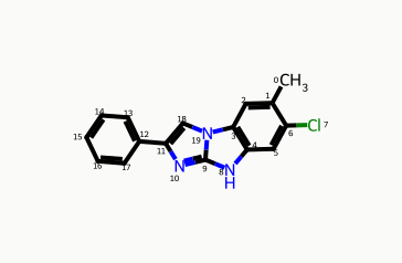 Cc1cc2c(cc1Cl)[nH]c1nc(-c3ccccc3)cn12